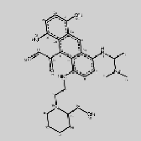 CC(Nc1ccc(NCCN2CCCCC2CO)c2c(C(=O)C=O)c3c(O)ccc(O)c3cc12)N(C)C